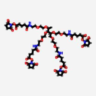 CC(OCCOCCNC(=O)CCCC(=O)ON1C(=O)CCC1=O)C(OCCOCCNC(=O)CCCC(=O)ON1C(=O)CCC1=O)C(COCCOCCNC(=O)CCCC(=O)ON1C(=O)CCC1=O)OCCOCCNC(=O)CCCC(=O)ON1C(=O)CCC1=O